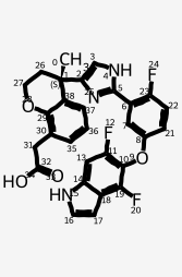 C[C@]1(c2c[nH]c(-c3cc(Oc4c(F)cc5[nH]ccc5c4F)ccc3F)n2)CCOc2c(CC(=O)O)cccc21